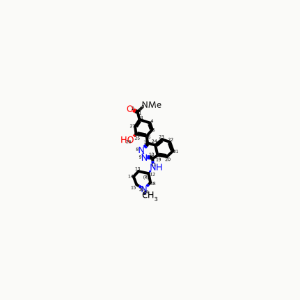 CNC(=O)c1ccc(-c2nnc(N[C@@H]3CCCN(C)C3)c3ccccc23)c(O)c1